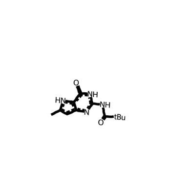 Cc1cc2nc(NC(=O)C(C)(C)C)[nH]c(=O)c2[nH]1